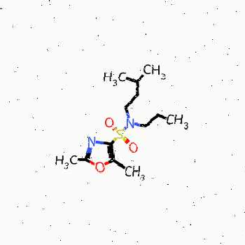 CCCN(CCC(C)C)S(=O)(=O)c1nc(C)oc1C